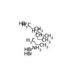 Br.Br.Br.CCC.CCC.CCC.CCC.N